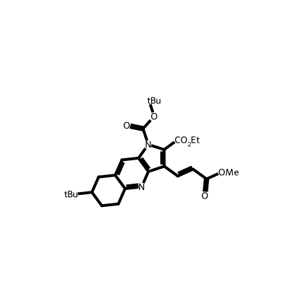 CCOC(=O)c1c(/C=C/C(=O)OC)c2nc3c(cc2n1C(=O)OC(C)(C)C)CC(C(C)(C)C)CC3